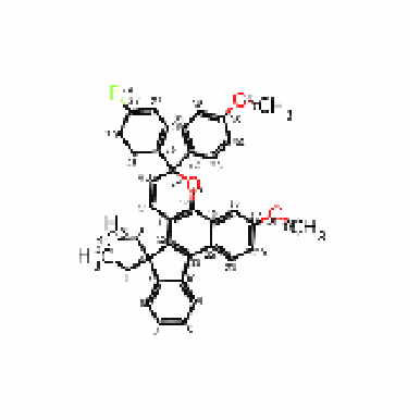 CCC1(CC)c2ccccc2-c2c1c1c(c3cc(OC)ccc23)OC(C2=CC=C(F)CC2)(c2ccc(OC)cc2)C=C1